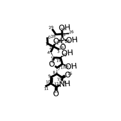 CCC(C)(C[C@H]1O[C@@H](C2C=C(C)C(=O)NC2=O)[C@H](O)[C@@H]1O)OP(=O)(O)[C@@](C)(O)CC